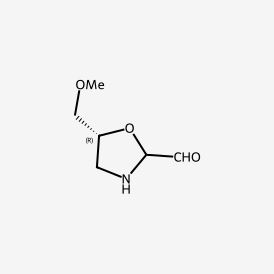 COC[C@H]1CNC(C=O)O1